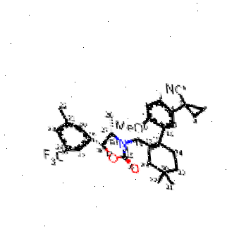 COc1ccc(C2(C#N)CC2)cc1C1=C(CN2C(=O)O[C@H](c3cc(C)cc(C(F)(F)F)c3)[C@@H]2C)CC(C)(C)CC1